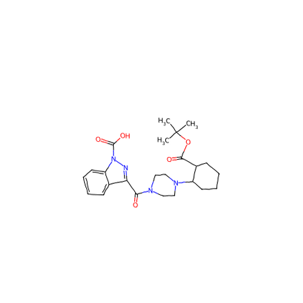 CC(C)(C)OC(=O)C1CCCCC1N1CCN(C(=O)c2nn(C(=O)O)c3ccccc23)CC1